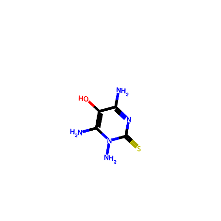 Nc1nc(=S)n(N)c(N)c1O